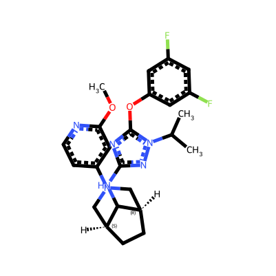 COc1cc(N2C[C@H]3CC[C@@H](C2)C3Nc2nc(Oc3cc(F)cc(F)c3)n(C(C)C)n2)ccn1